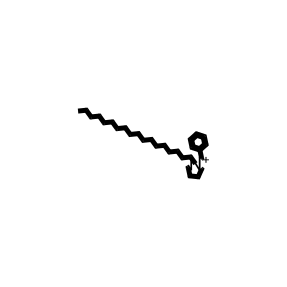 CCCCCCCCCCCCCCCCCC[N+]1(Cc2ccccc2)CCCC1